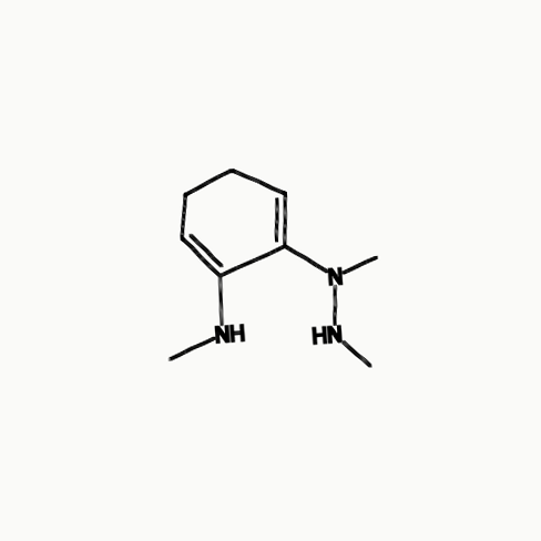 CNC1=CCCC=C1N(C)NC